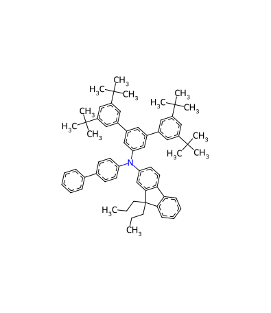 CCCC1(CCC)c2ccccc2-c2ccc(N(c3ccc(-c4ccccc4)cc3)c3cc(-c4cc(C(C)(C)C)cc(C(C)(C)C)c4)cc(-c4cc(C(C)(C)C)cc(C(C)(C)C)c4)c3)cc21